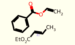 C/C=C/C(=O)OCC.C=COC(=O)c1ccccc1